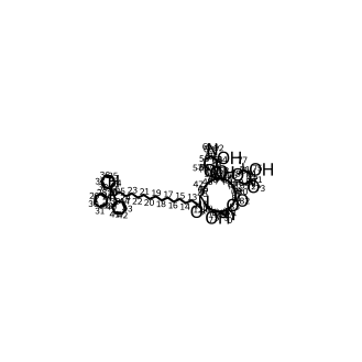 CC[C@@]12C[C@@]1(C)[C@H](O)[C@@H](C)N(C(=O)CCCCCCCCCCCCC[PH](c1ccccc1)(c1ccccc1)c1ccccc1)C[C@H](C)C[C@@](C)(O)[C@H](O[C@@H]1O[C@H](C)C[C@H](N(C)C)[C@H]1O)[C@@H](C)[C@H](C1C[C@@](C)(OC)[C@@H](O)[C@H](C)O1)[C@@H](C)C(=O)O2